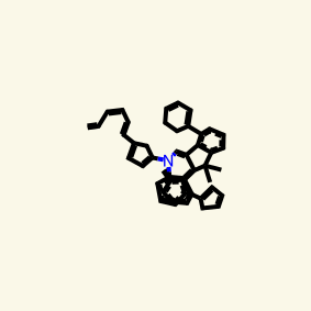 C=C/C=C\C=CC1=CC=C(N(/C=C2\C(=c3\ccccc3=C)C(C)(C)c3cccc(C4=CC=CCC4)c32)c2cccc(C3=CC=CC3)c2)C1